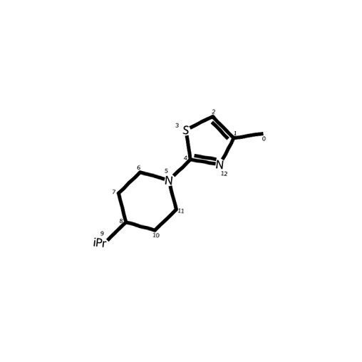 Cc1csc(N2CCC(C(C)C)CC2)n1